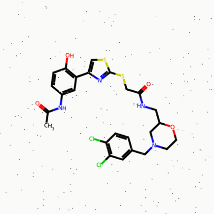 CC(=O)Nc1ccc(O)c(-c2csc(SCC(=O)NCC3CN(Cc4ccc(Cl)c(Cl)c4)CCO3)n2)c1